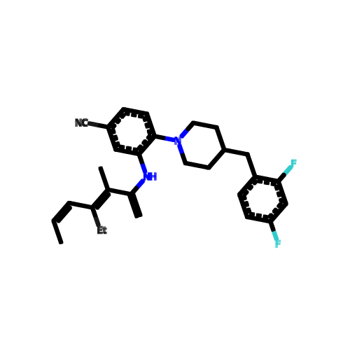 C=C(Nc1cc(C#N)ccc1N1CCC(Cc2ccc(F)cc2F)CC1)/C(C)=C(/C=C\C)CC